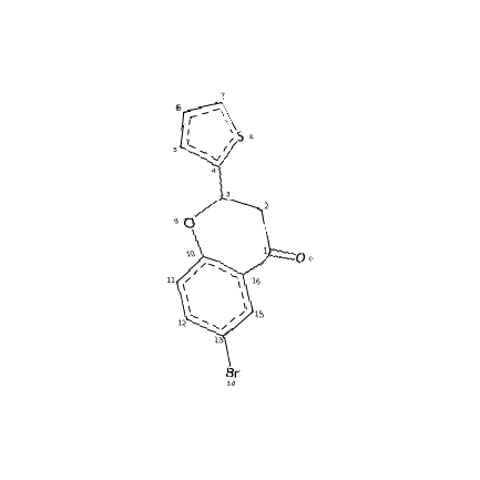 O=C1CC(c2cccs2)Oc2ccc(Br)cc21